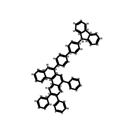 c1ccc(-c2nc3c(-c4ccccc4)cc4c(-c5ccc(-c6ccc(-n7c8ccccc8c8ccccc87)cc6)cc5)nc5ccccc5c4c3nc2-c2ccccc2)cc1